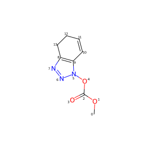 COC(=O)On1nnc2c1C=CCC2